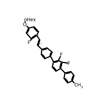 CCCCCCOc1ccc(/C=C/c2ccc(-c3ccc(-c4ccc(C)cc4)c(F)c3F)cc2)c(F)c1